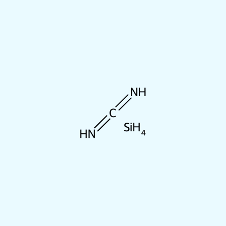 N=C=N.[SiH4]